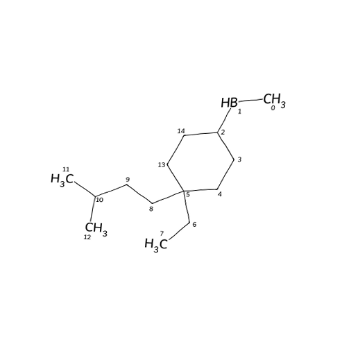 CBC1CCC(CC)(CCC(C)C)CC1